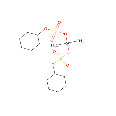 C[Si](C)(OS(=O)(=O)OC1CCCCC1)OS(=O)(=O)OC1CCCCC1